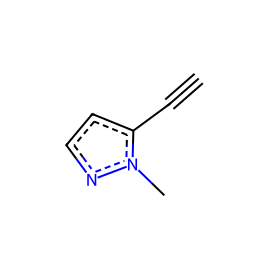 C#Cc1ccnn1C